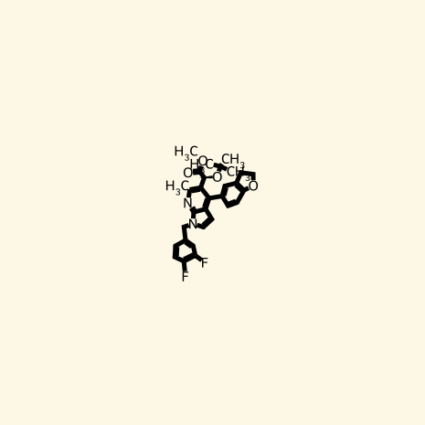 COC(=O)[C@@H](OC(C)(C)C)c1c(C)nc2c(ccn2Cc2ccc(F)c(F)c2)c1-c1ccc2c(c1)CCO2